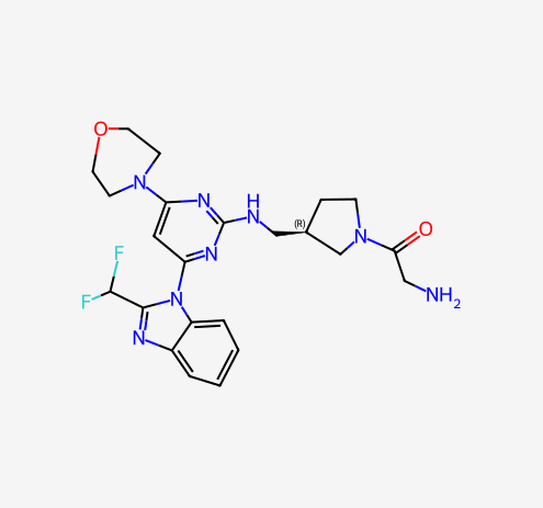 NCC(=O)N1CC[C@H](CNc2nc(N3CCOCC3)cc(-n3c(C(F)F)nc4ccccc43)n2)C1